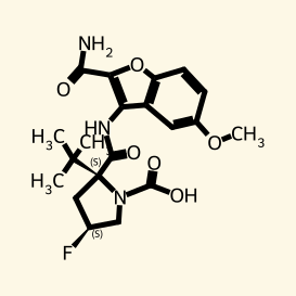 COc1ccc2oc(C(N)=O)c(NC(=O)[C@@]3(C(C)(C)C)C[C@H](F)CN3C(=O)O)c2c1